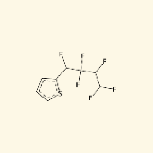 FC(F)C(F)C(F)(F)C(F)c1cccs1